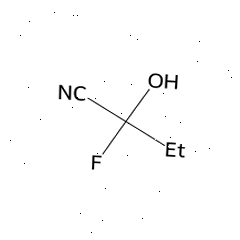 CCC(O)(F)C#N